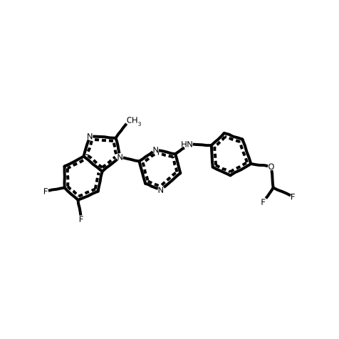 Cc1nc2cc(F)c(F)cc2n1-c1cncc(Nc2ccc(OC(F)F)cc2)n1